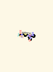 CNC(NC(O)C(F)(F)P)c1ccc(C(C)NCC2COCCN2C(=O)C2C=CC=CN2)s1